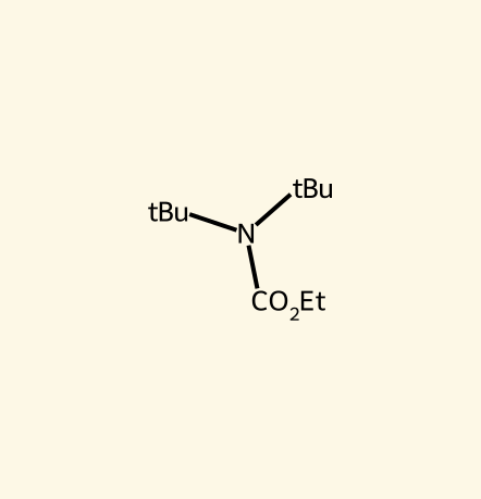 CCOC(=O)N(C(C)(C)C)C(C)(C)C